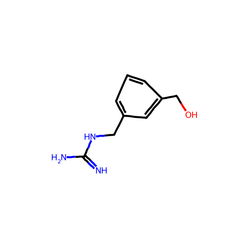 N=C(N)NCc1cccc(CO)c1